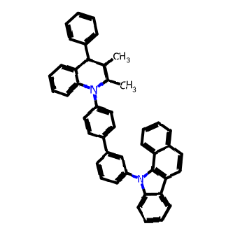 CC1C(c2ccccc2)c2ccccc2N(c2ccc(-c3cccc(-n4c5ccccc5c5ccc6ccccc6c54)c3)cc2)C1C